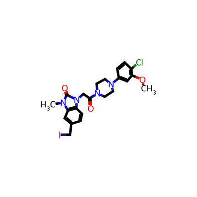 COc1cc(N2CCN(C(=O)Cn3c(=O)n(C)c4cc(CI)ccc43)CC2)ccc1Cl